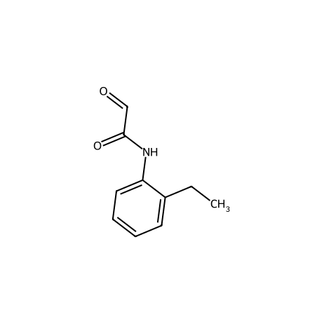 CCc1ccccc1NC(=O)C=O